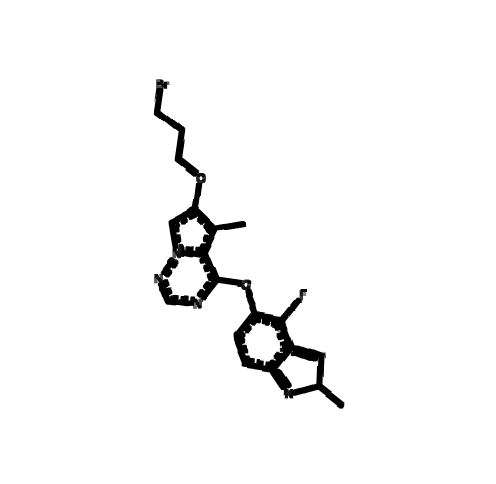 Cc1c(OCCCBr)cn2ncnc(Oc3ccc4c(c3F)=CC(C)N=4)c12